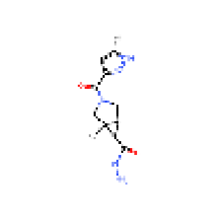 CC(=O)C12CN(C(=O)c3cc(C(C)C)[nH]n3)CC1C2C(=O)NN